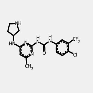 Cc1cc(NC2CCNC2)nc(NC(=O)Nc2ccc(Cl)c(C(F)(F)F)c2)n1